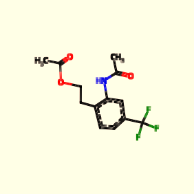 CC(=O)Nc1cc(C(F)(F)F)ccc1CCOC(C)=O